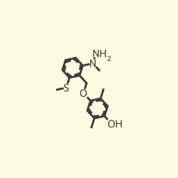 CSc1cccc(N(C)N)c1COc1cc(C)c(O)cc1C